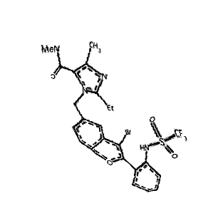 CCc1nc(C)c(C(=O)NC)n1Cc1ccc2oc(-c3ccccc3NS(=O)(=O)C(F)(F)F)c(Br)c2c1